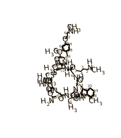 CNCCCC[C@@H]1NC(=O)[C@H](Cc2c[nH]c3c(C)cccc23)NC(=O)[C@H]([C@@H](C)O)NC(=O)[C@H](CC(N)=O)NC(=O)[C@@H](NC)C(C)(C)SSC(C)(C)[C@@H](C(=O)N[C@@H](Cc2ccc(OCCNC)cc2)C(=O)OC)NC1=O